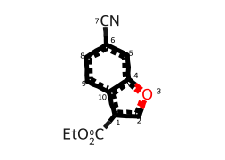 CCOC(=O)c1coc2cc(C#N)ccc12